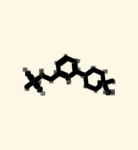 C[PH]1(O)CCN(c2nccc(COS(C)(=O)=O)n2)CC1